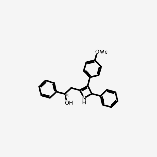 COc1ccc(C2=C(C[C@@H](O)c3ccccc3)NC2c2ccccc2)cc1